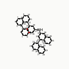 c1ccc(-c2cccc3cccc(-c4cccc(Nc5cc(-c6cccc7ccccc67)c6ccccc6c5)c4)c23)cc1